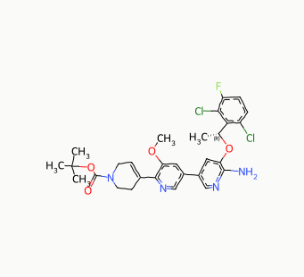 COc1cc(-c2cnc(N)c(O[C@H](C)c3c(Cl)ccc(F)c3Cl)c2)cnc1C1=CCN(C(=O)OC(C)(C)C)CC1